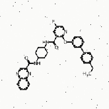 [CH2]Cc1ccc(-c2cccc(Oc3ncc(F)cc3C(=O)NC3CCC(NC(=O)c4cnc5ccccc5n4)CC3)c2)cc1